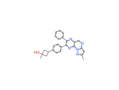 Cc1cc2ncc3nc(-c4ccccc4)c(-c4ccc(C5CC(C)(O)C5)cc4)nc3n2n1